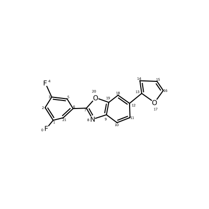 Fc1cc(F)cc(-c2nc3ccc(-c4ccco4)cc3o2)c1